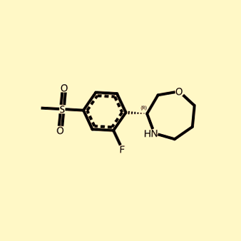 CS(=O)(=O)c1ccc([C@@H]2COCCCN2)c(F)c1